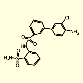 Nc1ccc(-c2cccc(S(=O)(=O)Nc3ccccc3S(N)(=O)=O)c2)cc1Cl